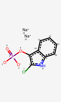 O=P([O-])([O-])Oc1c(Cl)[nH]c2ccccc12.[Na+].[Na+]